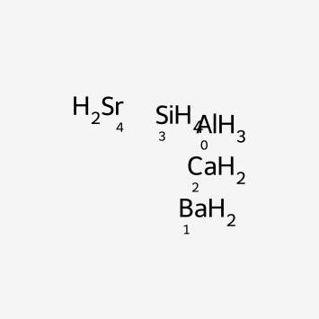 [AlH3].[BaH2].[CaH2].[SiH4].[SrH2]